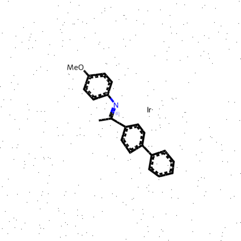 COc1ccc(/N=C(\C)c2ccc(-c3ccccc3)cc2)cc1.[Ir]